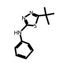 CC(C)(C)c1nnc(Nc2ccccc2)s1